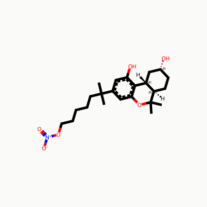 CC(C)(CCCCCO[N+](=O)[O-])c1cc(O)c2c(c1)OC(C)(C)[C@@H]1CC[C@@H](O)C[C@@H]21